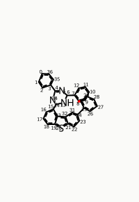 c1ccc(C2=NC(c3ccccc3)NC(c3cccc4sc5ccc(-c6ccccc6)cc5c34)=N2)cc1